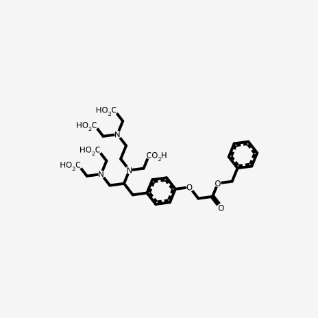 O=C(O)CN(CCN(CC(=O)O)C(Cc1ccc(OCC(=O)OCc2ccccc2)cc1)CN(CC(=O)O)CC(=O)O)CC(=O)O